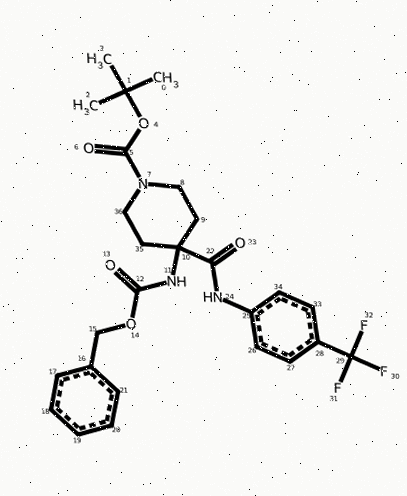 CC(C)(C)OC(=O)N1CCC(NC(=O)OCc2ccccc2)(C(=O)Nc2ccc(C(F)(F)F)cc2)CC1